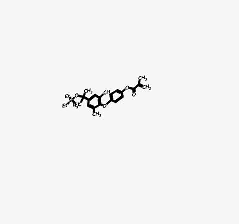 C=C(C)C(=O)Oc1ccc(Oc2c(C)cc(C(C)(C)O[Si](CC)(CC)CC)cc2C)cc1